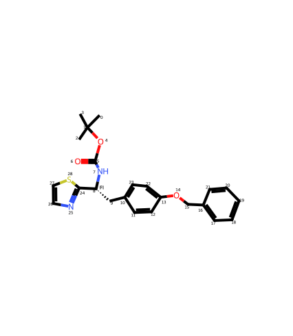 CC(C)(C)OC(=O)N[C@H](Cc1ccc(OCc2ccccc2)cc1)c1nccs1